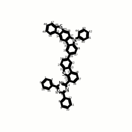 c1ccc(-c2nc(-c3ccccc3)nc(-c3cccc4c3sc3ccc(-c5ccc6c(c5)c5cc7c(cc5n6-c5ccccc5)sc5ccccc57)cc34)n2)cc1